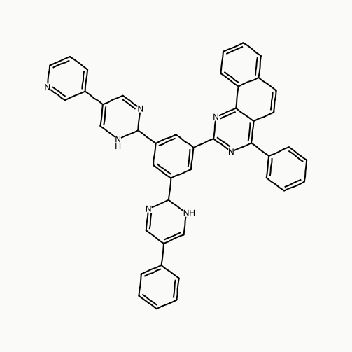 C1=NC(c2cc(-c3nc(-c4ccccc4)c4ccc5ccccc5c4n3)cc(C3N=CC(c4cccnc4)=CN3)c2)NC=C1c1ccccc1